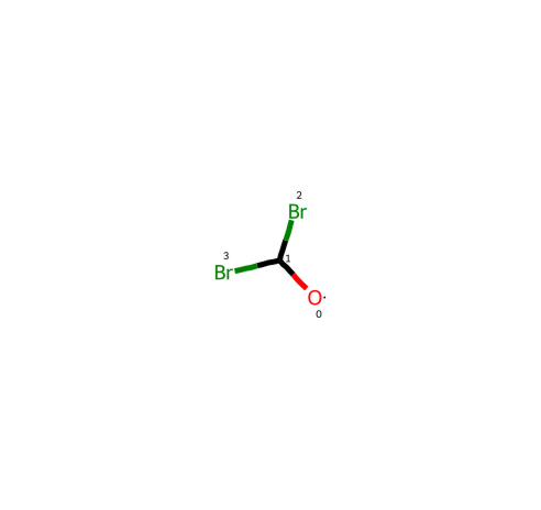 [O]C(Br)Br